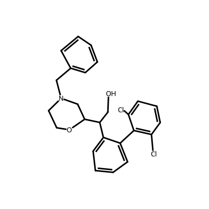 OCC(c1ccccc1-c1c(Cl)cccc1Cl)C1CN(Cc2ccccc2)CCO1